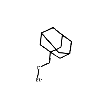 C[CH]OCC12CC3CC(CC(C3)C1)C2